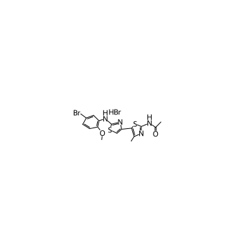 Br.COc1ccc(Br)cc1Nc1nc(-c2sc(NC(C)=O)nc2C)cs1